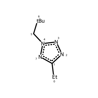 CCc1nnn(CC(C)(C)C)n1